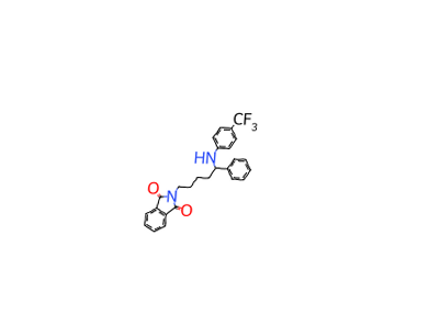 O=C1c2ccccc2C(=O)N1CCCCC(Nc1ccc(C(F)(F)F)cc1)c1ccccc1